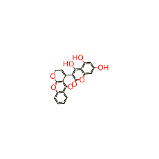 O=c1oc2cc(O)cc(O)c2c(O)c1C1=CCOc2oc3ccccc3c(=O)c21